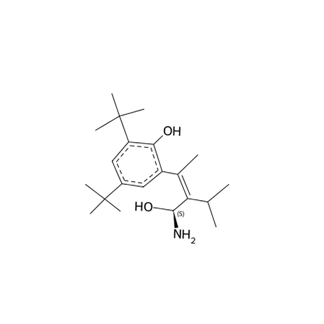 CC(=C(C(C)C)[C@@H](N)O)c1cc(C(C)(C)C)cc(C(C)(C)C)c1O